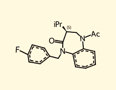 CC(=O)N1C[C@H](C(C)C)C(=O)N(Cc2ccc(F)cc2)c2ccccc21